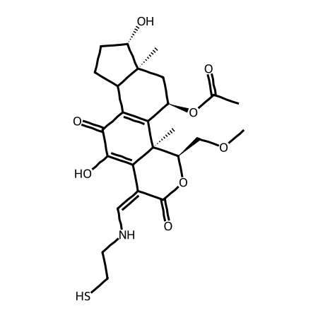 COC[C@H]1OC(=O)C(=CNCCS)C2=C(O)C(=O)C3=C([C@H](OC(C)=O)C[C@@]4(C)C3CC[C@@H]4O)[C@]21C